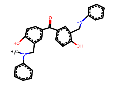 CN(Cc1cc(C(=O)c2ccc(O)c(CNc3ccccc3)c2)ccc1O)c1ccccc1